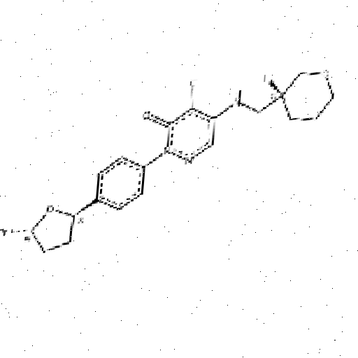 CC(C)[C@H]1CC[C@H](c2ccc(-n3ncc(NC[C@@]4(F)CCCOC4)c(Cl)c3=O)cc2)O1